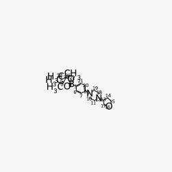 CC1(C)OB(c2ccc(N3CCN(C4CCOC4)CC3)cc2)OC1(C)C